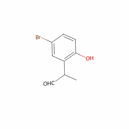 CC(C=O)c1cc(Br)ccc1O